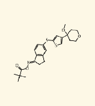 COC1(c2csc(Sc3ccc4c(c3)CCC4=NOC(=O)C(C)(C)C)c2)CCOCC1